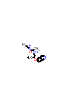 C#CCNC(=O)[C@H](C)NCC[C@@H](C)Oc1ccc2cnccc2c1